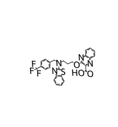 O=C(O)c1nc2ccccc2nc1OCCCN(Cc1ccc(C(F)(F)F)cc1)c1nc2ccccc2s1